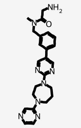 CN(Cc1cccc(-c2cnc(N3CCCN(c4cnccn4)CC3)nc2)c1)C(=O)CN